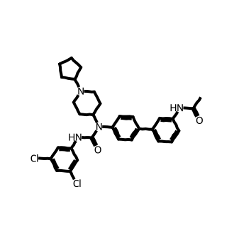 CC(=O)Nc1cccc(-c2ccc(N(C(=O)Nc3cc(Cl)cc(Cl)c3)C3CCN(C4CCCC4)CC3)cc2)c1